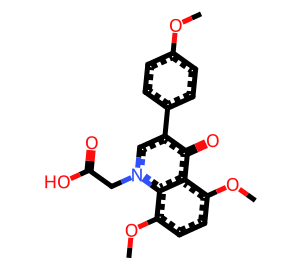 COc1ccc(-c2cn(CC(=O)O)c3c(OC)ccc(OC)c3c2=O)cc1